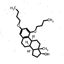 CCCCOc1cc2c(c(OCCCC)c1)[C@H]1CC[C@]3(C)[C@@H](O)CC[C@H]3[C@H]1CC2